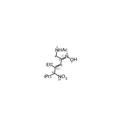 CC/C(=C\C(CNC(C)=O)=N/O)C(C(C)C)[N+](=O)[O-]